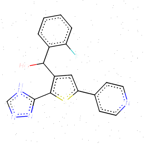 OC(c1ccccc1F)c1cc(-c2ccncc2)sc1-c1nnc[nH]1